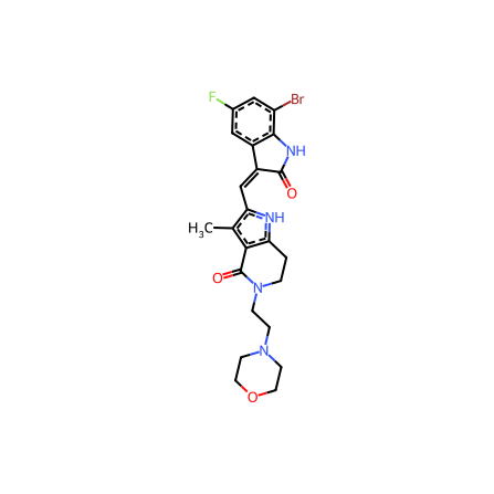 Cc1c(C=C2C(=O)Nc3c(Br)cc(F)cc32)[nH]c2c1C(=O)N(CCN1CCOCC1)CC2